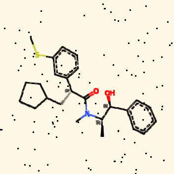 CSc1cccc([C@@H](CC2CCCC2)C(=O)N(C)[C@H](C)[C@@H](O)c2ccccc2)c1